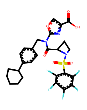 O=C(O)c1coc(N(Cc2ccc(C3CCCCC3)cc2)C(=O)[C@H]2CCN2S(=O)(=O)c2c(F)c(F)c(F)c(F)c2F)n1